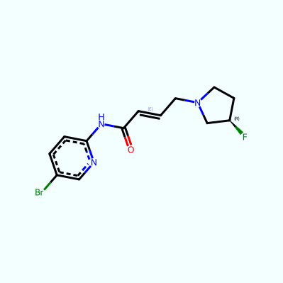 O=C(/C=C/CN1CC[C@@H](F)C1)Nc1ccc(Br)cn1